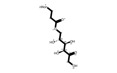 CCCCCCCCCCCC(=O)OC[C@@H](O)[C@@H](O)[C@H](O)C(=O)CO